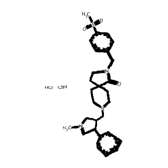 CN1CC(CN2CCC3(CC2)CCN(Cc2ccc(S(C)(=O)=O)cc2)C3=O)C(c2ccccc2)C1.Cl.Cl